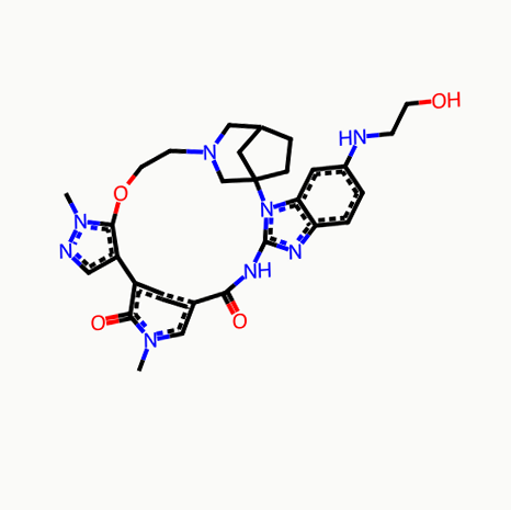 Cn1ncc2c1OCCN1CC3CCC(C3)(C1)n1c(nc3ccc(NCCO)cc31)NC(=O)c1cc-2c(=O)n(C)c1